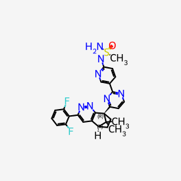 CC1(C)[C@H]2CC[C@@]1(c1ccnc(-c3ccc(N=S(C)(N)=O)nc3)n1)c1nnc(-c3c(F)cccc3F)cc12